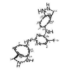 Fc1cnc(Nc2ccc3c(c2)NNC3)nc1Nc1ccc2c(c1)CNN2